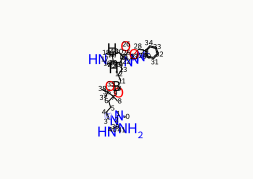 C=NN(/C=C\CCC1(C)OB(CCC[C@H]2[C@@H]3CNC[C@@H]3C[C@@]2(N=[N+]=[N-])C(=O)OCc2ccccc2)OC1(C)C)C(=N)N